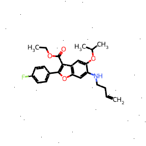 C=CCCNc1cc2oc(-c3ccc(F)cc3)c(C(=O)OCC)c2cc1OC(C)C